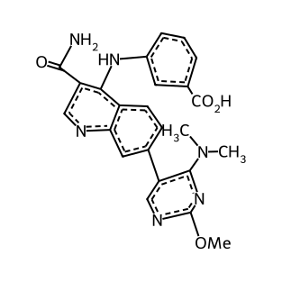 COc1ncc(-c2ccc3c(Nc4cccc(C(=O)O)c4)c(C(N)=O)cnc3c2)c(N(C)C)n1